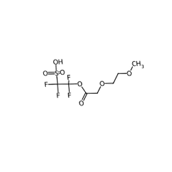 COCCOCC(=O)OC(F)(F)C(F)(F)S(=O)(=O)O